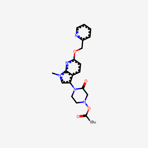 Cn1cc(N2CCN(OC(=O)C(C)(C)C)CC2=O)c2ccc(OCc3ccccn3)nc21